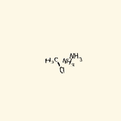 CCl.N.N